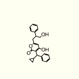 O=c1oc(CC(CO)c2ccccc2)cc(O)c1C(c1ccccc1)C1CC1